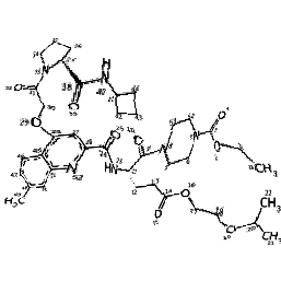 CCOC(=O)N1CCN(C(=O)[C@H](CCC(=O)OCCOC(C)C)NC(=O)c2cc(OCC(=O)N3CCC[C@H]3C(=O)NC3CCC3)c3ccc(C)cc3n2)CC1